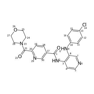 O=C(Nc1ccncc1Nc1ccc(Cl)cc1)c1ccc(C(=O)N2CCOCC2)nc1